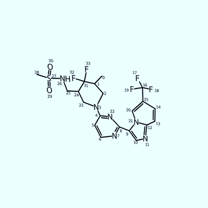 CC1CN(c2ccnc(-c3cnc4ccc(C(F)(F)F)cn34)n2)CC(CNS(C)(=O)=O)C1(F)F